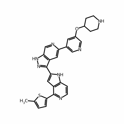 Cc1ccc(-c2nccc3[nH]c(-c4n[nH]c5cnc(-c6cncc(OC7CCNCC7)c6)cc45)cc23)s1